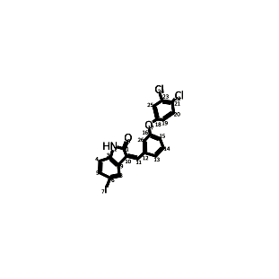 O=C1Nc2ccc(I)cc2C1=Cc1cccc(Oc2ccc(Cl)c(Cl)c2)c1